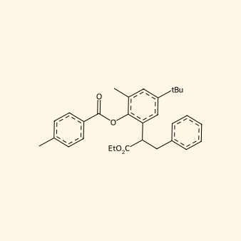 CCOC(=O)C(Cc1ccccc1)c1cc(C(C)(C)C)cc(C)c1OC(=O)c1ccc(C)cc1